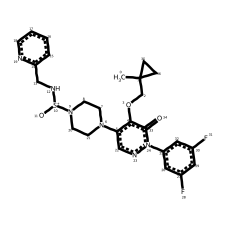 CC1(COc2c(N3CCN([S+]([O-])NCc4ccccn4)CC3)cnn(-c3cc(F)cc(F)c3)c2=O)CC1